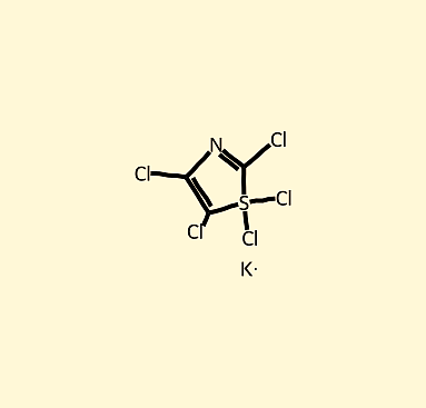 ClC1=NC(Cl)=C(Cl)S1(Cl)Cl.[K]